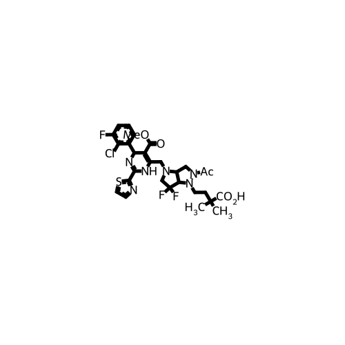 COC(=O)C1=C(CN2CC(F)(F)C3C2CN(C(C)=O)N3CCC(C)(C)C(=O)O)NC(c2nccs2)=NC1c1cccc(F)c1Cl